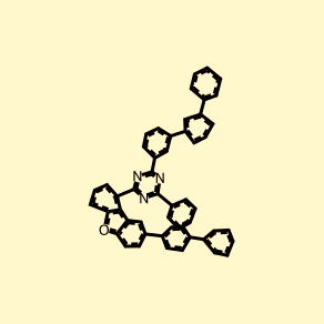 c1ccc(-c2ccc(-c3ccc4oc5cccc(-c6nc(-c7ccccc7)nc(-c7cccc(-c8cccc(-c9ccccc9)c8)c7)n6)c5c4c3)cc2)cc1